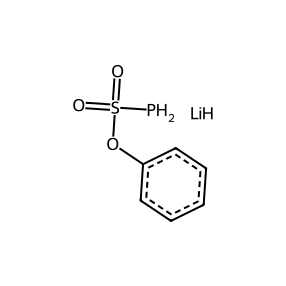 O=S(=O)(P)Oc1ccccc1.[LiH]